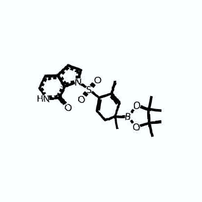 CC1=CC(C)(B2OC(C)(C)C(C)(C)O2)CC=C1S(=O)(=O)n1ccc2cc[nH]c(=O)c21